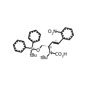 CC(C)(C)N(C(=O)O)[C@@H](/C=C/c1ccccc1[N+](=O)[O-])CO[Si](c1ccccc1)(c1ccccc1)C(C)(C)C